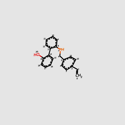 C=Cc1ccc(CPc2ccccc2-c2ccccc2O)cc1